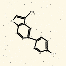 Cc1coc2ccc(-c3ccc(O)cc3)cc12